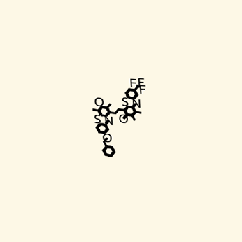 Cc1c2nc3cc(C(F)(F)F)ccc3sc-2c(CCc2c3nc4cc(OCc5ccccc5)ccc4sc-3c(C)c(=O)c2C)c(=O)c1C